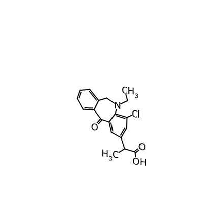 CCN1Cc2ccccc2C(=O)c2cc(C(C)C(=O)O)cc(Cl)c21